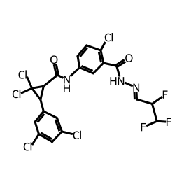 O=C(NN=CC(F)C(F)F)c1cc(NC(=O)C2C(c3cc(Cl)cc(Cl)c3)C2(Cl)Cl)ccc1Cl